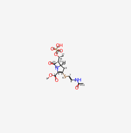 COC(=O)C1=C(SC=CNC(C)=O)C[C@@H]2[C@H]([C@H](C)OS(=O)(=O)O)C(=O)N12